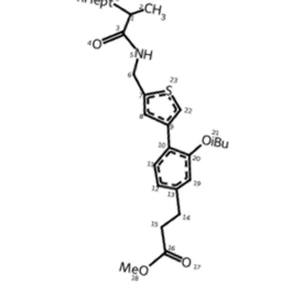 CCCCCCCC(C)C(=O)NCc1cc(-c2ccc(CCC(=O)OC)cc2OCC(C)C)cs1